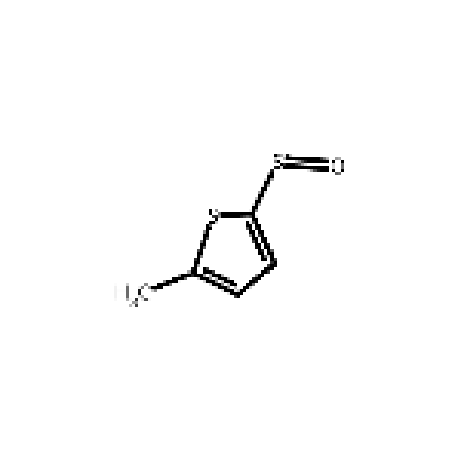 Cc1ccc([S+]=O)s1